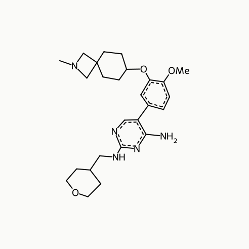 COc1ccc(-c2cnc(NCC3CCOCC3)nc2N)cc1OC1CCC2(CC1)CN(C)C2